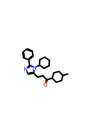 CC1CCC(C(=O)CCc2cnc(-c3ccccc3)n2C2CCCCC2)CC1